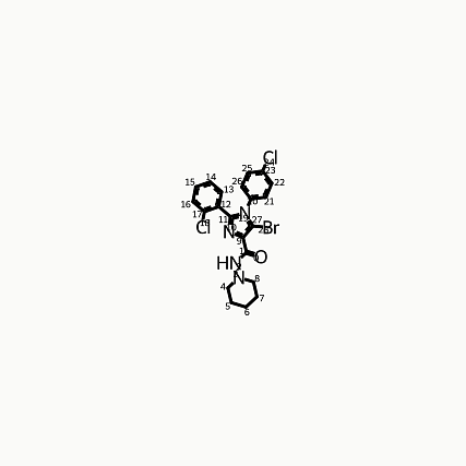 O=C(NN1CCCCC1)c1nc(-c2ccccc2Cl)n(-c2ccc(Cl)cc2)c1Br